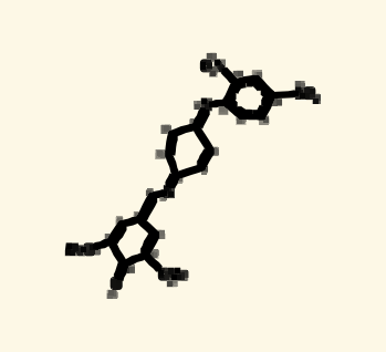 COC1=CC(=CN=C2C=CC(=Nc3ccc([N+](=O)[O-])cc3[N+](=O)[O-])C=C2)C=C(OC)C1=O